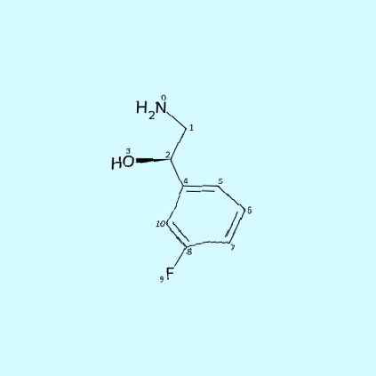 NC[C@H](O)c1cccc(F)c1